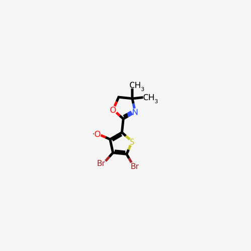 CC1(C)COC(c2sc(Br)c(Br)c2[O])=N1